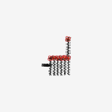 CCCCCCCCCCCCOS(=O)(=O)O.CCCCCCCCCCCCOS(=O)(=O)[O-].CCCCCCCCCCCCOS(=O)(=O)[O-].CCCCCCCCCCCCOS(=O)(=O)[O-].CCCCCCCCCCCCOS(=O)(=O)[O-].CCCCCCCCCCCCOS(=O)(=O)[O-].CCCCCCCCCCCCOS(=O)(=O)[O-].[Na+].[Na+].[Na+].[Na+].[Na+].[Na+]